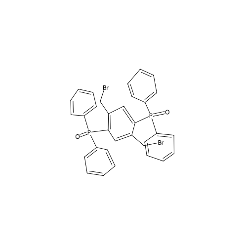 O=P(c1ccccc1)(c1ccccc1)c1cc(CBr)c(P(=O)(c2ccccc2)c2ccccc2)cc1CBr